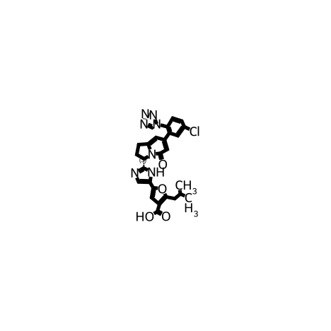 CC(C)Cc1oc(-c2cnc([C@@H]3CCc4cc(-c5cc(Cl)ccc5-n5cnnn5)cc(=O)n43)[nH]2)cc1C(=O)O